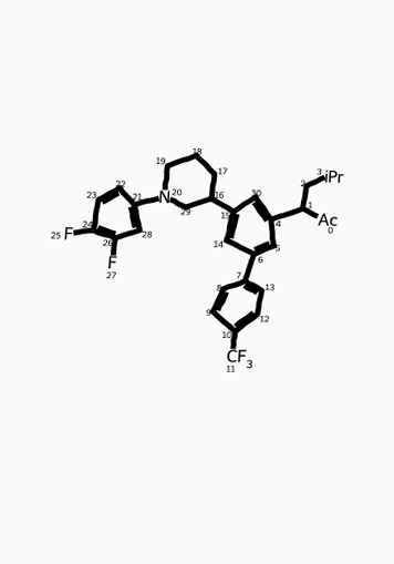 CC(=O)C(CC(C)C)c1cc(-c2ccc(C(F)(F)F)cc2)cc(C2CCCN(c3ccc(F)c(F)c3)C2)c1